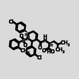 Cc1ccccc1S(=O)(=O)N1C(c2cccc(Cl)c2)C(C(=O)N[C@@H](CC(C)C)C(=O)O)=CC[C@H]1c1ccc(Cl)cc1